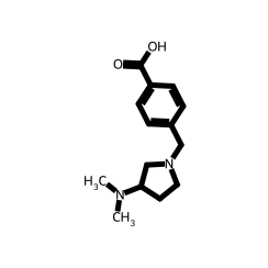 CN(C)C1CCN(Cc2ccc(C(=O)O)cc2)C1